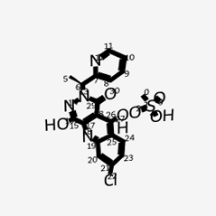 CS(=O)(=O)O.C[C@@H](c1ccccn1)n1nc(O)c2nc3cc(Cl)ccc3c(O)c2c1=O